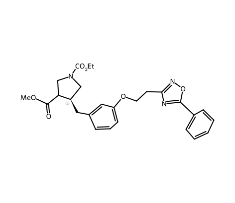 CCOC(=O)N1CC(C(=O)OC)[C@H](Cc2cccc(OCCc3noc(-c4ccccc4)n3)c2)C1